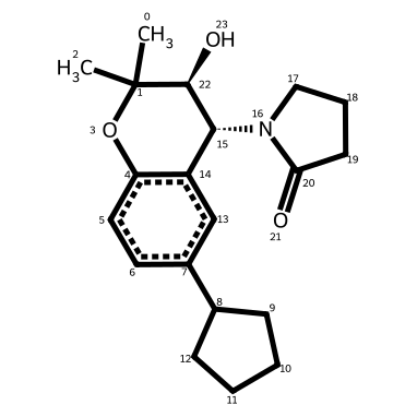 CC1(C)Oc2ccc(C3CCCC3)cc2[C@@H](N2CCCC2=O)[C@@H]1O